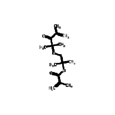 C=C(C)C(=O)OC(C)(C)COC(C)(C)C(=O)C(=C)C